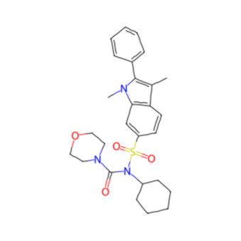 Cc1c(-c2ccccc2)n(C)c2cc(S(=O)(=O)N(C(=O)N3CCOCC3)C3CCCCC3)ccc12